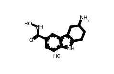 Cl.NC1CCc2[nH]c3ccc(C(=O)NO)cc3c2C1